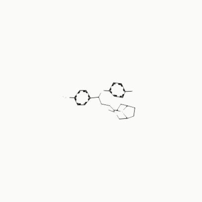 CCOC(=O)N1CC2CCC(C1)N2CCCC(Oc1ccc(O)cc1)c1ccc(C#N)cc1